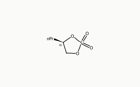 CCC[C@@H]1COS(=O)(=O)O1